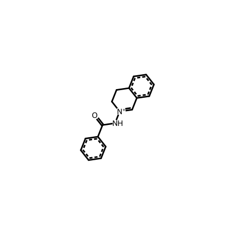 O=C(N[N+]1=Cc2ccccc2CC1)c1ccccc1